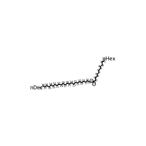 CCCCCCC=CCCCCCCCCCC(=O)OCCCCCCCCCCCCCCCCCCCCCCCCCCCCCCCCCC